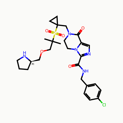 CC(C)(COC[C@H]1CCCN1)S(=O)(=O)C1(CN2CCn3c(cnc3C(=O)NCc3ccc(Cl)cc3)C2=O)CC1